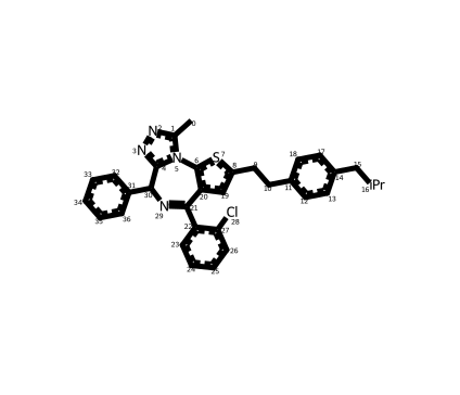 Cc1nnc2n1-c1sc(CCc3ccc(CC(C)C)cc3)cc1C(c1ccccc1Cl)=NC2c1ccccc1